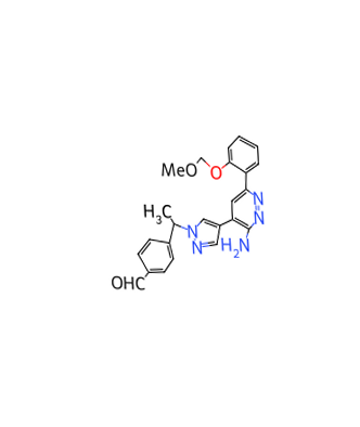 COCOc1ccccc1-c1cc(-c2cnn(C(C)c3ccc(C=O)cc3)c2)c(N)nn1